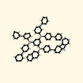 c1ccc(-c2ccc(N(c3cccc(-c4ccccc4)c3)c3cc(N(c4ccc(-c5ccccc5)cc4)c4cccc(-c5ccccc5)c4)cc(N(c4ccc(-c5ccc6sc7ccccc7c6c5)cc4)c4ccc5ccccc5c4)c3)cc2)cc1